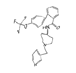 O=C(NC1CCN(Cc2cccnc2)CC1)c1ccccc1-c1ccc(OC(F)(F)F)cc1